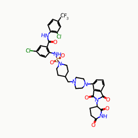 O=C1CCC(N2C(=O)c3cccc(N4CCN(CC5CCN(S(=O)(=O)Nc6ccc(Cl)cc6C(=O)Nc6ccc(C(F)(F)F)cc6Cl)CC5)CC4)c3C2=O)C(=O)N1